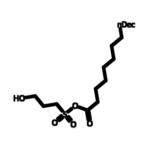 CCCCCCCCCCCCCCCCCC(=O)OS(=O)(=O)CCCO